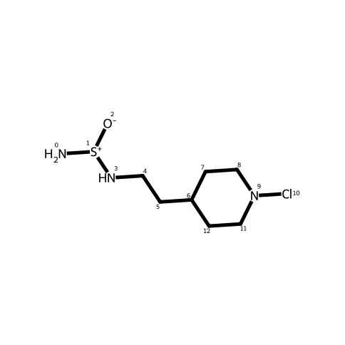 N[S+]([O-])NCCC1CCN(Cl)CC1